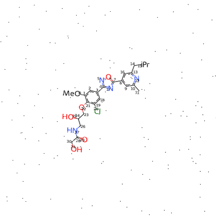 COc1cc(-c2noc(-c3cc(C)nc(CC(C)C)c3)n2)cc(Cl)c1OC[C@H](O)CNC(=O)CO